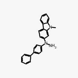 Cn1c2ccccc2c2ccc(N(N)c3ccc(-c4ccccc4)cc3)cc21